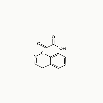 C1=NOc2ccccc2C1.O=CC(=O)O